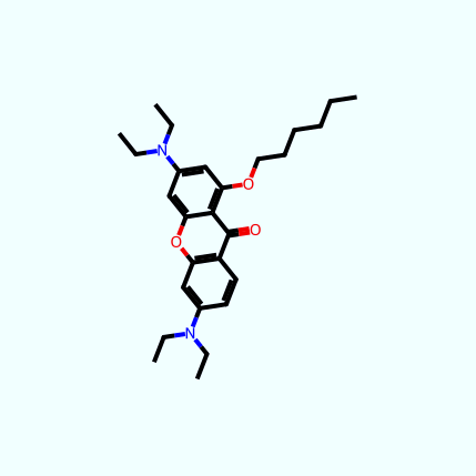 CCCCCCOc1cc(N(CC)CC)cc2oc3cc(N(CC)CC)ccc3c(=O)c12